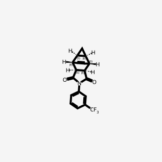 O=C1[C@@H]2[C@@H]3C=C[C@@H]([C@H]4C[C@@H]34)[C@@H]2C(=O)N1c1cccc(C(F)(F)F)c1